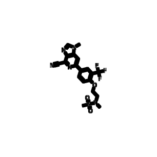 CN(CCOc1ccc(-c2cc3c(ncn3C)c(C#N)n2)cc1C(F)(F)F)S(C)(=O)=O